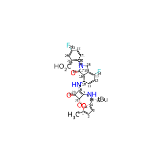 Cc1ccc([C@H](Nc2c(Nc3ccc(F)c4c3C(=O)N(c3ccc(F)cc3C(=O)O)C4)c(=O)c2=O)C(C)(C)C)o1